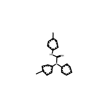 Cc1ccc(NC(=N)N(c2ccccc2)c2ccc(C)cc2)cc1